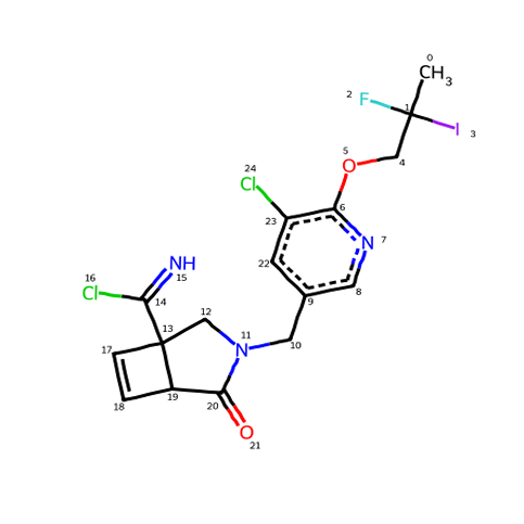 CC(F)(I)COc1ncc(CN2CC3(C(=N)Cl)C=CC3C2=O)cc1Cl